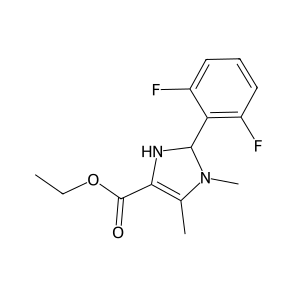 CCOC(=O)C1=C(C)N(C)C(c2c(F)cccc2F)N1